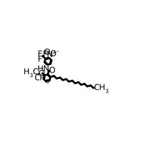 CCCCCCCCCCCCCCCc1cccc(OC(C)C)c1C(=O)Nc1ccc([N+](=O)[O-])c(C(F)(F)F)c1